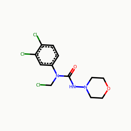 O=C(NN1CCOCC1)N(CCl)c1ccc(Cl)c(Cl)c1